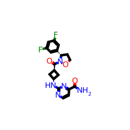 NC(=O)c1ccnc(N[C@H]2C[C@H](C(=O)N3OCC[C@H]3c3cc(F)cc(F)c3)C2)n1